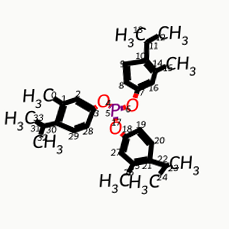 Cc1cc(OP(Oc2ccc(C(C)C)c(C)c2)Oc2ccc(C(C)C)c(C)c2)ccc1C(C)C